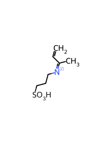 C=C/C(C)=N\CCCS(=O)(=O)O